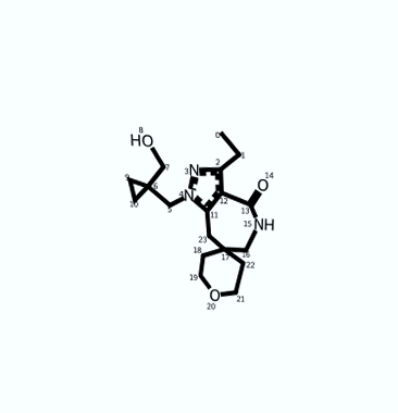 CCc1nn(CC2(CO)CC2)c2c1C(=O)NCC1(CCOCC1)C2